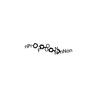 CCCCCCCCCc1cnc(-c2ccc(OC(=O)c3ccc([C@H]4CC[C@H](CCC)CC4)c(F)c3)cc2)nc1